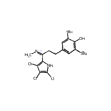 C/N=C(/CCc1cc(C(C)(C)C)c(O)c(C(C)(C)C)c1)c1[nH]c(Cl)c(Cl)c1Cl